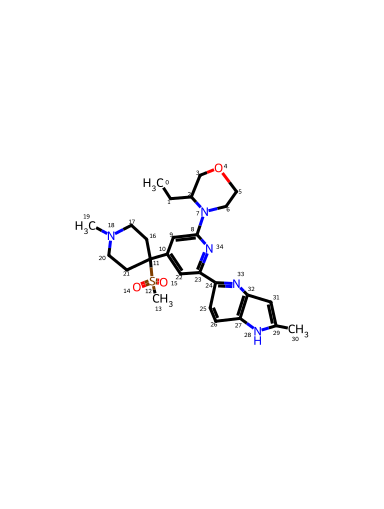 CCC1COCCN1c1cc(C2(S(C)(=O)=O)CCN(C)CC2)cc(-c2ccc3[nH]c(C)cc3n2)n1